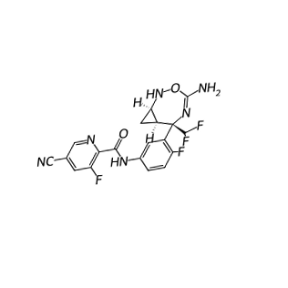 N#Cc1cnc(C(=O)Nc2ccc(F)c([C@@]3(C(F)F)N=C(N)ON[C@@H]4C[C@@H]43)c2)c(F)c1